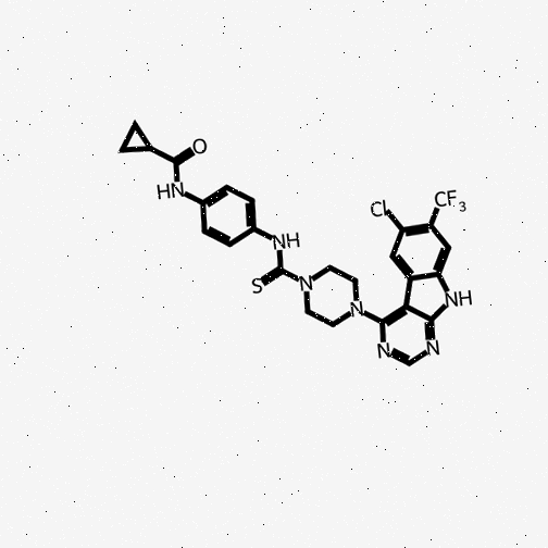 O=C(Nc1ccc(NC(=S)N2CCN(c3ncnc4[nH]c5cc(C(F)(F)F)c(Cl)cc5c34)CC2)cc1)C1CC1